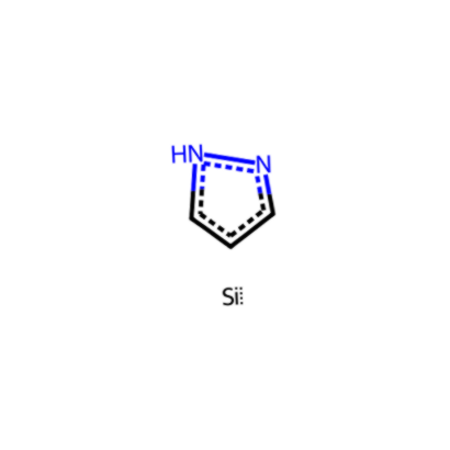 [Si].c1cn[nH]c1